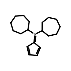 [C]1=CC=CC1=[Si](C1CCCCCC1)C1CCCCCC1